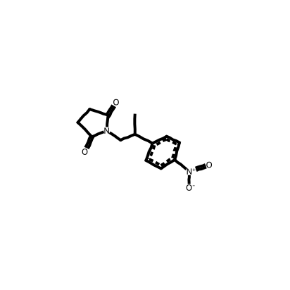 CC(CN1C(=O)CCC1=O)c1ccc([N+](=O)[O-])cc1